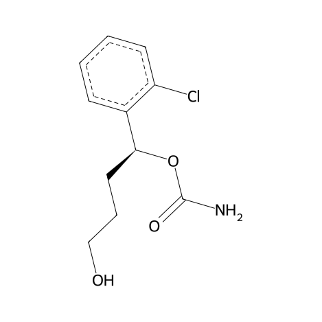 NC(=O)O[C@@H](CCCO)c1ccccc1Cl